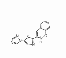 C1=C(c2ncc(-n3cncn3)s2)NOc2ccccc21